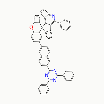 c1ccc(-c2nc(-c3ccccc3)nc(-c3ccc4cc(-c5ccc6c(c5)C5(c7ccccc7O6)c6ccccc6-c6c(-c7ccccc7)nc7ccccc7c65)ccc4c3)n2)cc1